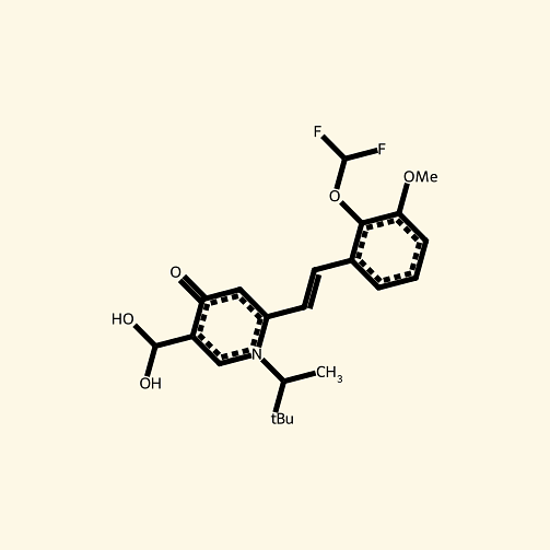 COc1cccc(/C=C/c2cc(=O)c(C(O)O)cn2C(C)C(C)(C)C)c1OC(F)F